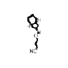 N#CCCCON=C1C[C@H]2CC=CC[C@H]2C1